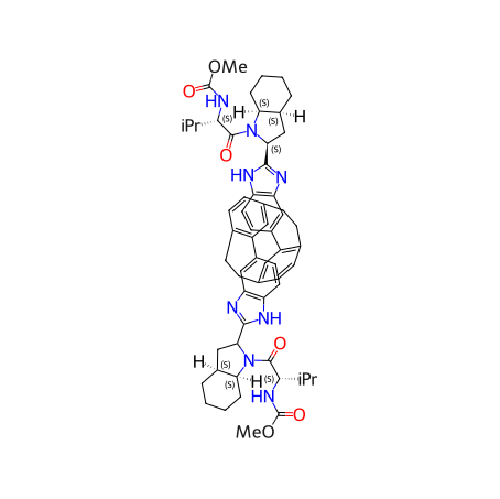 COC(=O)N[C@H](C(=O)N1C(c2nc3cc(-c4cc5ccc4CCc4ccc(c(-c6ccc7[nH]c([C@@H]8C[C@@H]9CCCC[C@@H]9N8C(=O)[C@@H](NC(=O)OC)C(C)C)nc7c6)c4)CC5)ccc3[nH]2)C[C@@H]2CCCC[C@@H]21)C(C)C